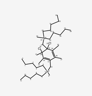 CCCCC[N+](C)(CCCCC)CC1=C(C)C(C)(Cl)C(Cl)(C[N+](C)(CCCCC)CCCCC)C(C)=C1C